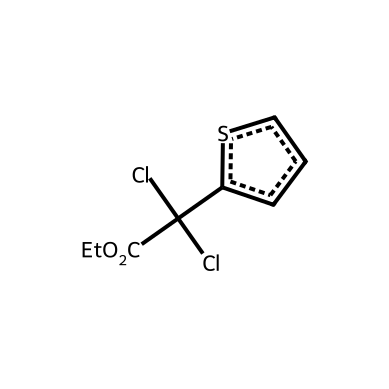 CCOC(=O)C(Cl)(Cl)c1cccs1